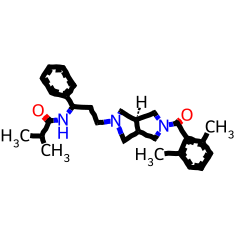 Cc1cccc(C)c1C(=O)N1CC2CN(CCC(NC(=O)C(C)C)c3ccccc3)C[C@H]2C1